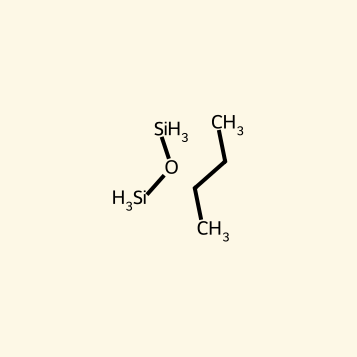 CCCC.[SiH3]O[SiH3]